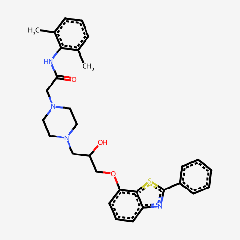 Cc1cccc(C)c1NC(=O)CN1CCN(CC(O)COc2cccc3nc(-c4ccccc4)sc23)CC1